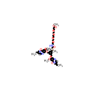 C/C=C1\C[C@H]2C=Nc3cc(OCc4cc(COc5cc6c(cc5OC)C(=O)N5C/C(=C/C)C[C@H]5C=N6)cc(C(C)(C)SCC(=O)NCCOCCOCCOCCOCCC(=O)OC)c4)c(OC)cc3C(=O)N2C1